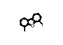 Cc1cccc2c1oc1c(I)cccc12